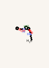 CCCCCCNC(=O)COc1ccc2c(c1)CC(NC[C@H](O)COc1ccccc1)CCC2.Cl